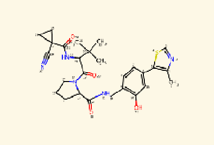 Cc1ncsc1-c1ccc(CNC(=O)C2CCCN2C(=O)C(NC(=O)C2(C#N)CC2)C(C)(C)C)c(O)c1